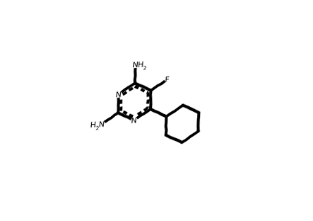 Nc1nc(N)c(F)c(C2CCCCC2)n1